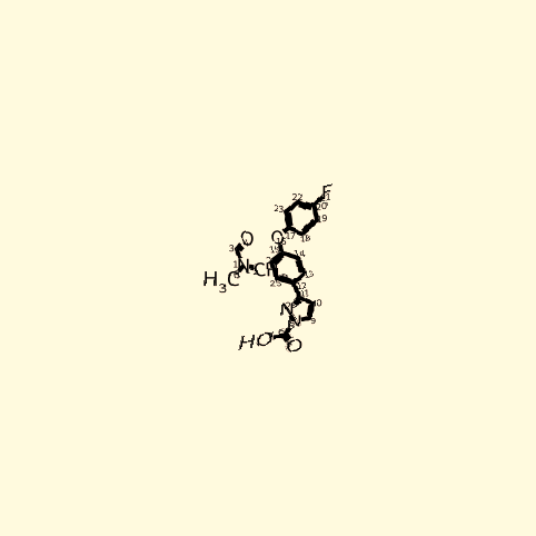 CN(C)C=O.O=C(O)n1ccc(-c2ccc(Oc3ccc(F)cc3)cc2)n1